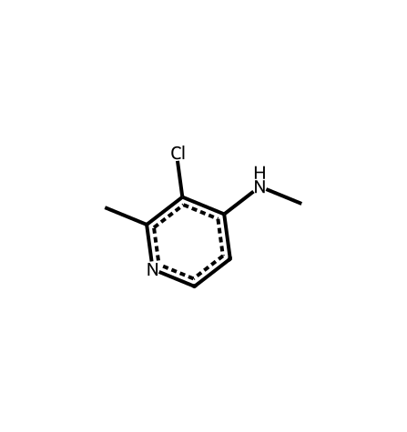 CNc1ccnc(C)c1Cl